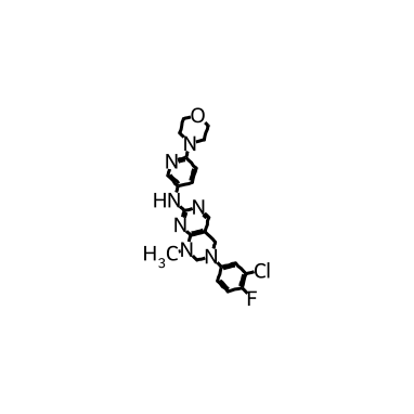 CN1CN(c2ccc(F)c(Cl)c2)Cc2cnc(Nc3ccc(N4CCOCC4)nc3)nc21